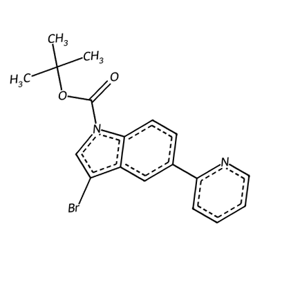 CC(C)(C)OC(=O)n1cc(Br)c2cc(-c3ccccn3)ccc21